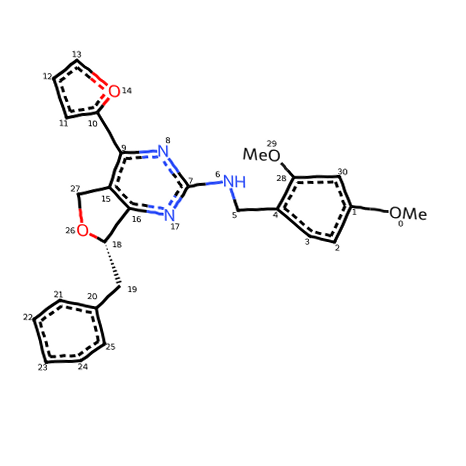 COc1ccc(CNc2nc(-c3ccco3)c3c(n2)[C@H](Cc2ccccc2)OC3)c(OC)c1